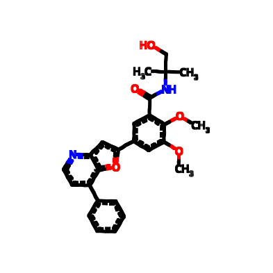 COc1cc(-c2cc3nccc(-c4ccccc4)c3o2)cc(C(=O)NC(C)(C)CO)c1OC